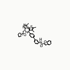 Cc1sc2c(c1C)C(c1ccc(-c3cccc(NC(=O)c4cc5ccccc5o4)c3)cc1)=N[C@@H](CC(=O)N1CCCC1)c1nnc(C)n1-2